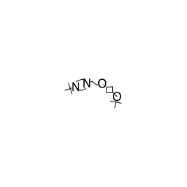 CC(C)(C)O[C@H]1C[C@H](OCCN2CCN(C(C)(C)C)CC2)C1